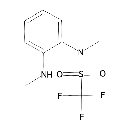 CNc1ccccc1N(C)S(=O)(=O)C(F)(F)F